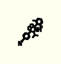 Cc1cccc(F)c1C(=O)NC(C(=O)c1ccc(C#N)cc1)C(C)C